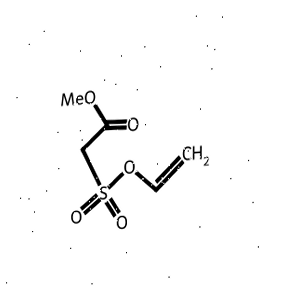 C=COS(=O)(=O)CC(=O)OC